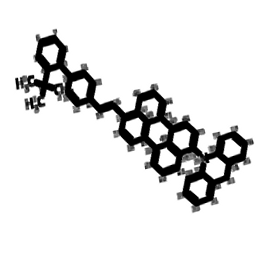 CC(C)(C)c1ccccc1-c1ccc(/C=C/c2ccc3c4cccc5c(N6c7ccccc7Cc7ccccc76)ccc(c6cccc2c36)c54)cc1